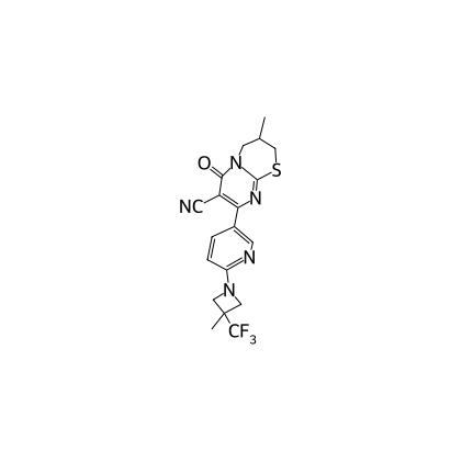 CC1CSc2nc(-c3ccc(N4CC(C)(C(F)(F)F)C4)nc3)c(C#N)c(=O)n2C1